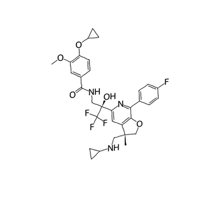 COc1cc(C(=O)NC[C@](O)(c2cc3c(c(-c4ccc(F)cc4)n2)OC[C@]3(C)CNC2CC2)C(F)(F)F)ccc1OC1CC1